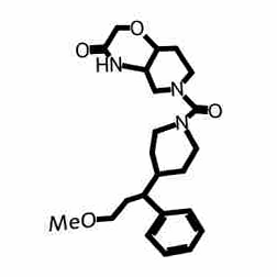 COCCC(c1ccccc1)C1CCN(C(=O)N2CCC3OCC(=O)NC3C2)CC1